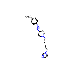 COc1ccc(/N=N/c2cc[n+](CCCCCn3ccnc3)cc2)cc1